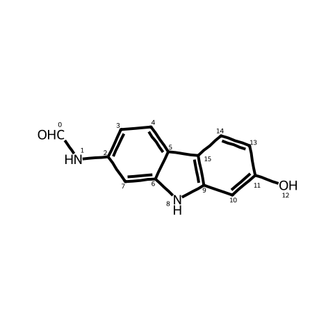 O=CNc1ccc2c(c1)[nH]c1cc(O)ccc12